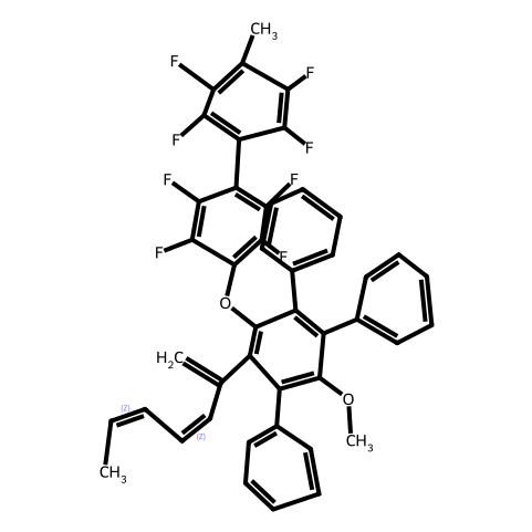 C=C(/C=C\C=C/C)c1c(Oc2c(F)c(F)c(-c3c(F)c(F)c(C)c(F)c3F)c(F)c2F)c(-c2ccccc2)c(-c2ccccc2)c(OC)c1-c1ccccc1